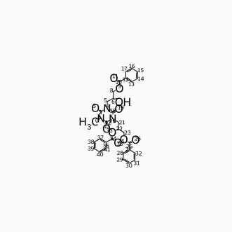 Cn1c(=O)n(CC(O)COC(=O)c2ccccc2)c(=O)n(CC(COC(=O)c2ccccc2)OC(=O)c2ccccc2)c1=O